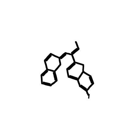 C/C=C(\C=C1\C=Cc2ccccc2C1)C1=CC=C2C=C(I)C=CC2C1